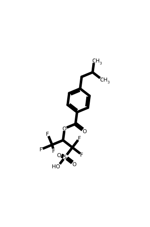 CC(C)Cc1ccc(C(=O)OC(C(F)(F)F)C(F)(F)S(=O)(=O)O)cc1